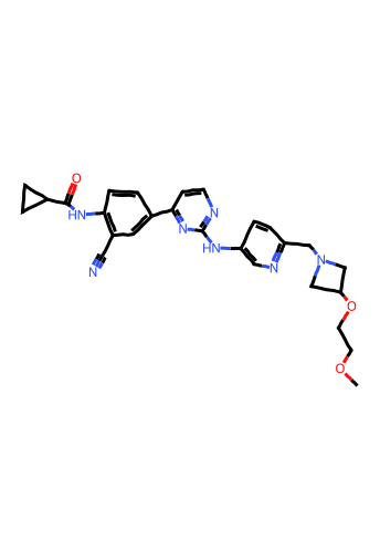 COCCOC1CN(Cc2ccc(Nc3nccc(-c4ccc(NC(=O)C5CC5)c(C#N)c4)n3)cn2)C1